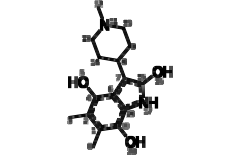 Cc1c(C)c(O)c2c(C3CCN(C)CC3)c(O)[nH]c2c1O